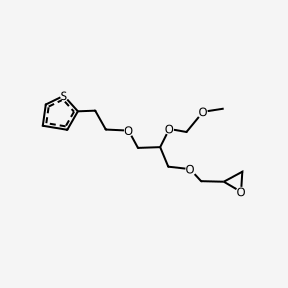 COCOC(COCCc1cccs1)COCC1CO1